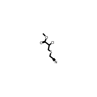 COC(=O)C(Cl)CSCC#N